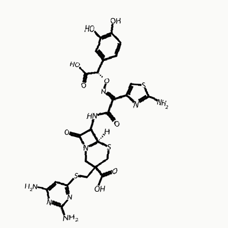 Nc1cc(SCC2(C(=O)O)CS[C@@H]3C(NC(=O)C(=NO[C@H](C(=O)O)c4ccc(O)c(O)c4)c4csc(N)n4)C(=O)N3C2)nc(N)n1